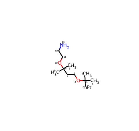 CCCC(C)(C)OCCC(C)(C)OCCN